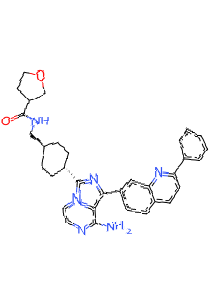 Nc1nccn2c1c(-c1ccc3ccc(-c4ccccc4)nc3c1)nc2[C@H]1CC[C@H](CNC(=O)C2CCOC2)CC1